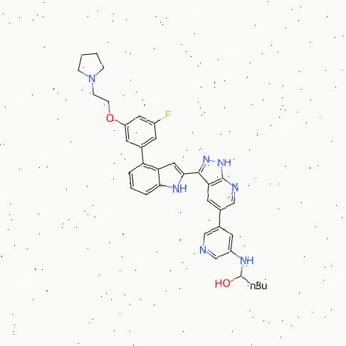 CCCCC(O)Nc1cncc(-c2cnc3[nH]nc(-c4cc5c(-c6cc(F)cc(OCCN7CCCC7)c6)cccc5[nH]4)c3c2)c1